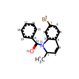 CC1C=Cc2ccc(Br)cc2N1C(=O)c1ccccc1